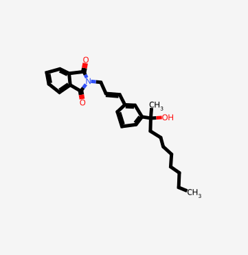 CCCCCCCCC(C)(O)c1cccc(/C=C/CN2C(=O)c3ccccc3C2=O)c1